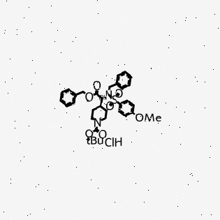 COc1ccc(S(=O)(=O)N(Cc2ccccc2)[C@@H](C(=O)OCc2ccccc2)C2CCN(C(=O)OC(C)(C)C)CC2)cc1.Cl